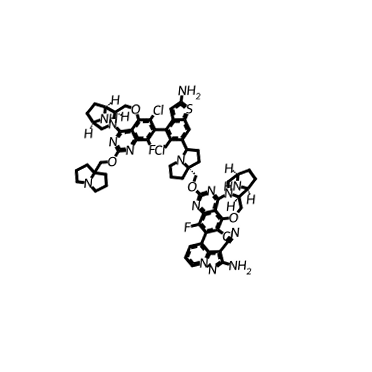 N#Cc1c(N)nn2cccc(-c3c(Cl)c4c5c(nc(OC[C@]67CCCN6C(c6cc8sc(N)cc8c(-c8c(Cl)c9c%10c(nc(OCC%11%12CCCN%11CCC%12)nc%10c8F)N8C[C@H]%10CC[C@H](N%10)[C@H]8CO9)c6Cl)CC7)nc5c3F)N3C[C@H]5CC[C@H](N5)[C@H]3CO4)c12